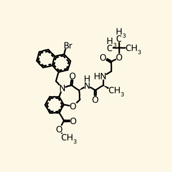 COC(=O)c1cccc2c1OC[C@H](NC(=O)[C@H](C)NCC(=O)OC(C)(C)C)C(=O)N2Cc1ccc(Br)c2ccccc12